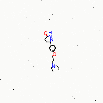 CCN(CC)CCCOc1ccc(C2=NNC(=O)CC2)cc1